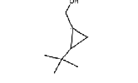 CC(C)(C)C1C[C]1CO